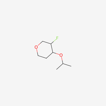 CC(C)OC1CCOCC1F